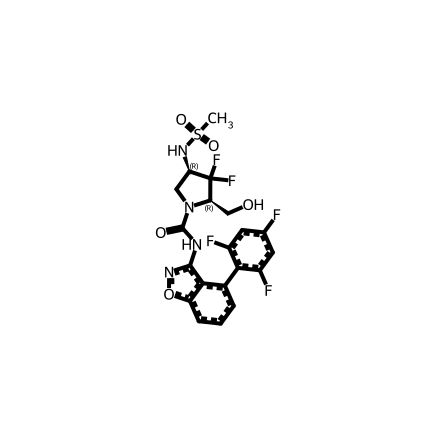 CS(=O)(=O)N[C@@H]1CN(C(=O)Nc2noc3cccc(-c4c(F)cc(F)cc4F)c23)[C@H](CO)C1(F)F